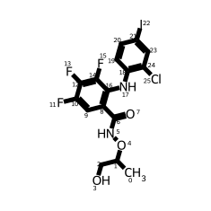 CC(CO)ONC(=O)c1cc(F)c(F)c(F)c1Nc1ccc(I)cc1Cl